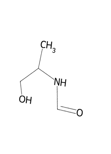 CC(CO)NC=O